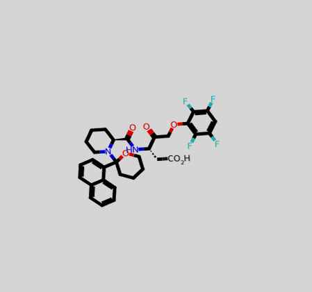 O=C(O)C[C@H](NC(=O)[C@@H]1CCCCN1C1(c2cccc3ccccc23)CCCCO1)C(=O)COc1c(F)c(F)cc(F)c1F